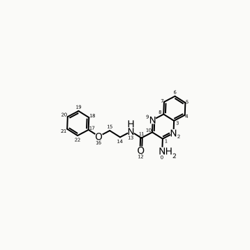 Nc1nc2ccccc2nc1C(=O)NCCOc1ccccc1